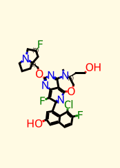 CN1c2nc(OC[C@@]34CCCN3C[C@H](F)C4)nc3c(F)c(-c4cc(O)cc5ccc(F)c(Cl)c45)nc(c23)OC[C@@H]1CCO